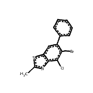 Cc1nc2c(Cl)c(Br)c(-c3ccccc3)cc2s1